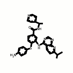 CC(C)c1ccc2c(Nc3cc(C(=O)NC(C)c4ccncc4)ccc3Sc3ccc(N)cc3)ncnc2n1